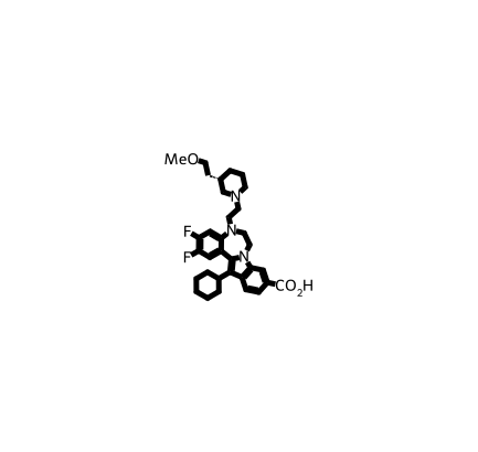 COCC[C@@H]1CCCN(CCN2CCn3c(c(C4CCCCC4)c4ccc(C(=O)O)cc43)-c3cc(F)c(F)cc32)C1